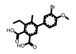 CCc1c(C)c(-c2ccc(OC)c(Br)c2)cc(C(=O)O)c1C(=O)O